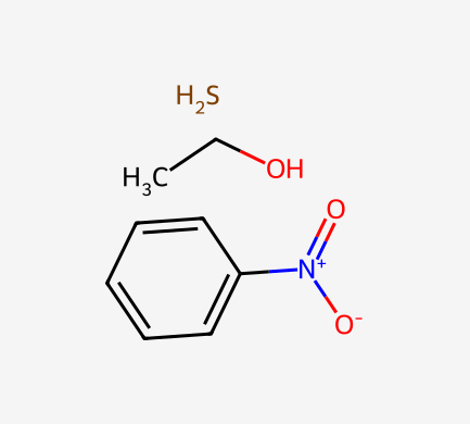 CCO.O=[N+]([O-])c1ccccc1.S